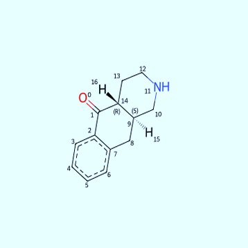 O=C1c2ccccc2C[C@@H]2CNCC[C@@H]12